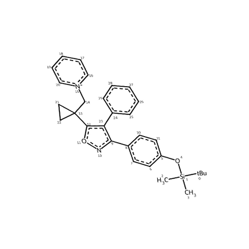 CC(C)(C)[Si](C)(C)Oc1ccc(-c2noc(C3(C[n+]4ccccc4)CC3)c2-c2ccccc2)cc1